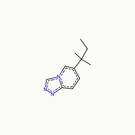 CCC(C)(C)c1ccc2nncn2c1